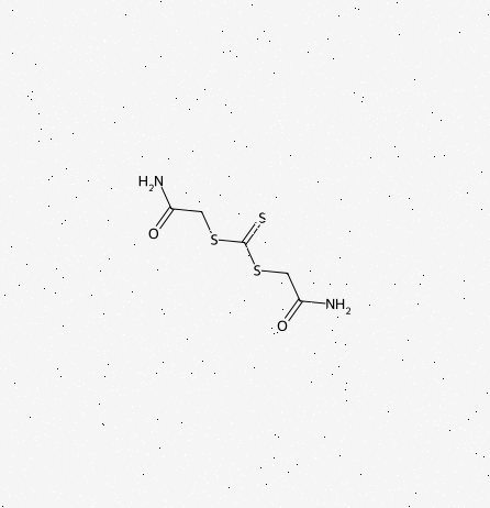 NC(=O)CSC(=S)SCC(N)=O